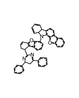 C1=CC2c3ccc4c(oc5ccccc54)c3N(c3cccc4c5c(oc34)C=CCC5C3=NC(c4ccccc4)CC(c4ccccc4)=N3)C2C=C1